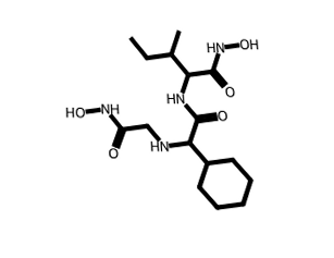 CCC(C)C(NC(=O)C(NCC(=O)NO)C1CCCCC1)C(=O)NO